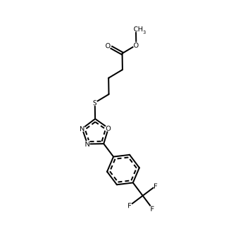 COC(=O)CCCSc1nnc(-c2ccc(C(F)(F)F)cc2)o1